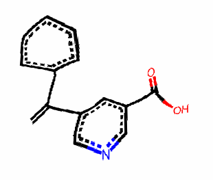 C=C(c1ccccc1)c1cncc(C(=O)O)c1